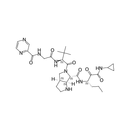 CCC[C@H](NC(=O)[C@@H]1[C@H]2NCC[C@H]2CN1C(=O)[C@@H](NC(=O)CNC(=O)c1cnccn1)C(C)(C)C)C(=O)C(=O)NC1CC1